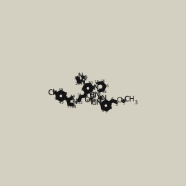 CCOCCc1cccc2[nH]c(NC3CCCCN3c3cc(-n4ccnn4)cc(C(=O)CCN4CCC(c5ccc(Cl)cc5)C4)c3OCC)nc12